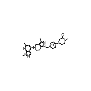 Cc1cc(N2CCc3c(c(C)nn3CC34CCC(N5CCN(C)C(=O)C5)(CC3)CC4)C2)c2cnn(C)c2n1